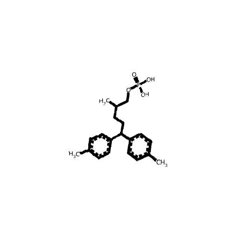 Cc1ccc(C(CCC(C)COP(=O)(O)O)c2ccc(C)cc2)cc1